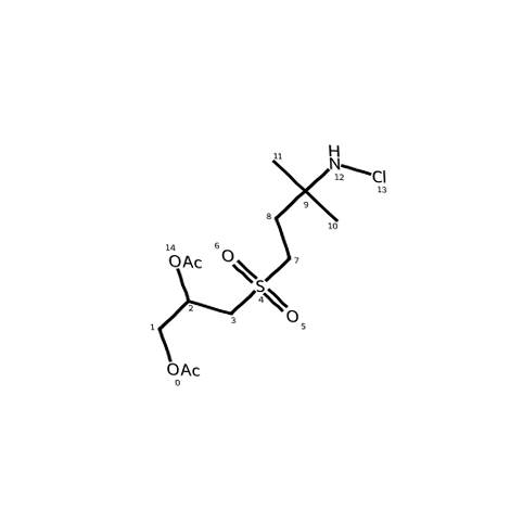 CC(=O)OCC(CS(=O)(=O)CCC(C)(C)NCl)OC(C)=O